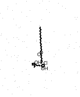 CCCCCCCCCCCCCCCCCCOC(=O)CCCC=CC[C@@H]1[C@@H](C=CC[C@H](O)C2(CC)CCC2)[C@H](O)C[C@H]1Cl